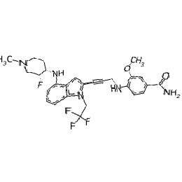 COc1cc(C(N)=O)ccc1NCC#Cc1cc2c(N[C@H]3CCN(C)C[C@H]3F)cccc2n1CC(F)(F)F